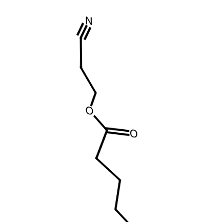 [CH2]CCCC(=O)OCCC#N